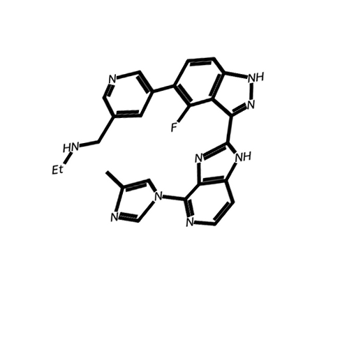 CCNCc1cncc(-c2ccc3[nH]nc(-c4nc5c(-n6cnc(C)c6)nccc5[nH]4)c3c2F)c1